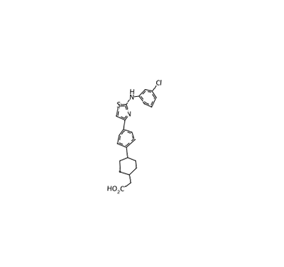 O=C(O)CC1CCC(c2ccc(-c3csc(Nc4cccc(Cl)c4)n3)cc2)CC1